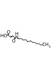 CCCCCCCCCCCCNC(=O)C=CC(=O)O